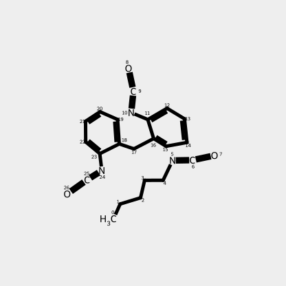 CCCCCN=C=O.O=C=Nc1ccccc1Cc1ccccc1N=C=O